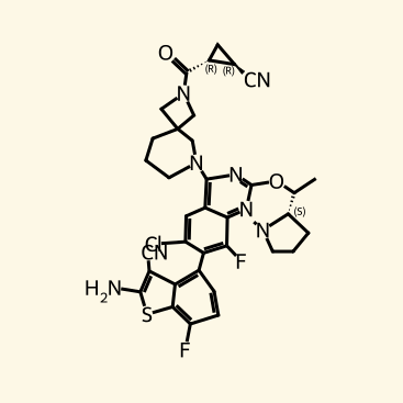 CC(Oc1nc(N2CCCC3(CN(C(=O)[C@@H]4C[C@H]4C#N)C3)C2)c2cc(Cl)c(-c3ccc(F)c4sc(N)c(C#N)c34)c(F)c2n1)[C@@H]1CCCN1C